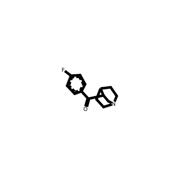 O=C(c1ccc(F)cc1)C1CN2CCC1CC2